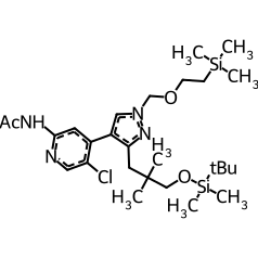 CC(=O)Nc1cc(-c2cn(COCC[Si](C)(C)C)nc2CC(C)(C)CO[Si](C)(C)C(C)(C)C)c(Cl)cn1